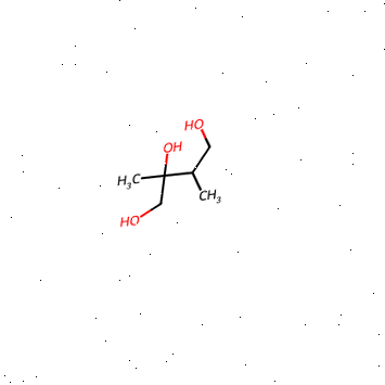 CC(CO)C(C)(O)CO